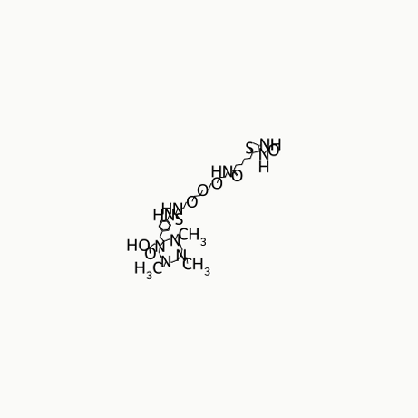 CCN1CCN(CC)CCN(CC(=O)O)C(Cc2ccc(NC(=S)NCCOCCOCCOCCNC(=O)CCCCC3SCC4NC(=O)NC43)cc2)CN(CC)CC1